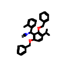 [C-]#[N+]C(c1ccccc1C)c1c(OCc2ccccc2)ccc(C(C)C)c1OCc1ccccc1